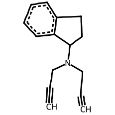 C#CCN(CC#C)C1CCc2ccccc21